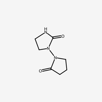 O=C1CCCN1N1CCNC1=O